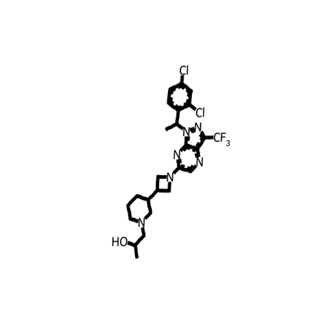 CC(O)CN1CCCC(C2CN(c3cnc4c(C(F)(F)F)nn(C(C)c5ccc(Cl)cc5Cl)c4n3)C2)C1